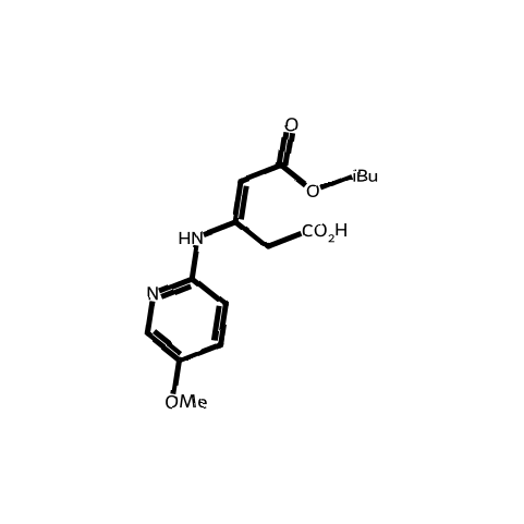 CCC(C)OC(=O)C=C(CC(=O)O)Nc1ccc(OC)cn1